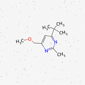 COCc1cc(C(C)(C)C)nc(C)n1